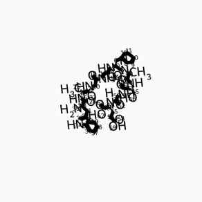 C[C@H](NC(=O)[C@H](Cc1ccccc1)NC(=O)CNC(=O)CNC(=O)[C@H](C)NC(=O)[C@@H](N)Cc1c[nH]c2ccccc12)C(=O)N[C@@H](CO)C(=O)NCC(=O)N[C@@H](CCC(=O)O)C(=O)O